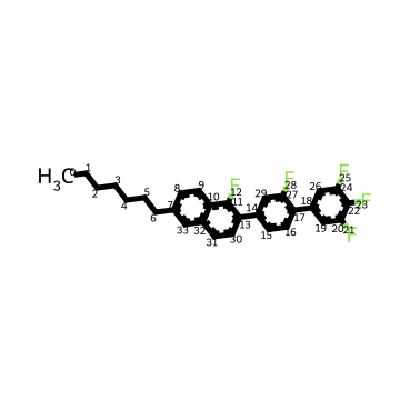 CCCCCCCc1ccc2c(F)c(-c3ccc(-c4cc(F)c(F)c(F)c4)c(F)c3)ccc2c1